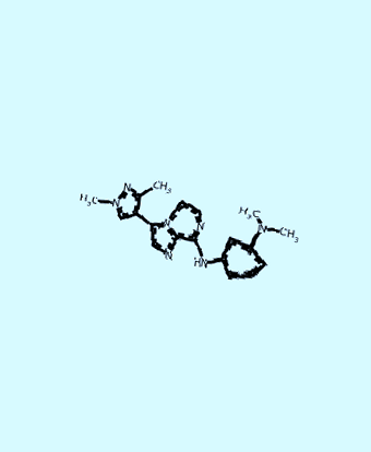 Cc1nn(C)cc1-c1cnc2c(Nc3cccc(N(C)C)c3)nccn12